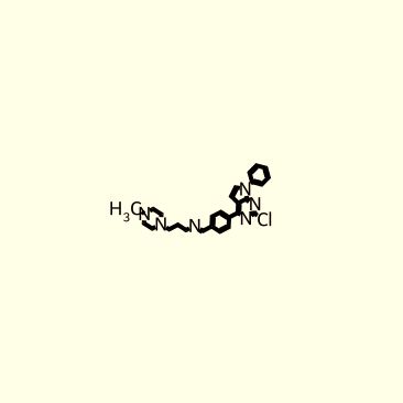 CN1CCN(CCCN=Cc2ccc(-c3nc(Cl)nc4c3ccn4-c3ccccc3)cc2)CC1